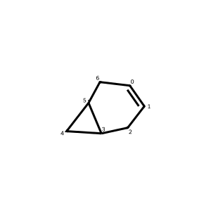 C1=CCC2C[C]2C1